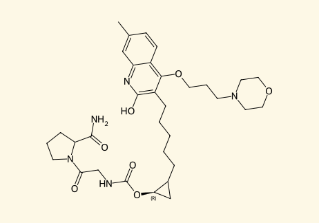 Cc1ccc2c(OCCCN3CCOCC3)c(CCCCCC3C[C@H]3OC(=O)NCC(=O)N3CCCC3C(N)=O)c(O)nc2c1